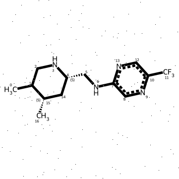 CC1CN[C@H](CNc2cnc(C(F)(F)F)cn2)C[C@@H]1C